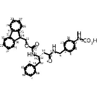 O=C(O)Nc1ccc(CNC(=O)C[C@H](Cc2ccccc2)NC(=O)OCC2c3ccccc3-c3ccccc32)cc1